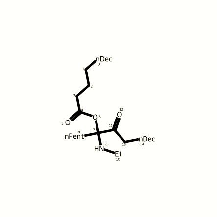 CCCCCCCCCCCCCC(=O)OC(CCCCC)(NCC)C(=O)CCCCCCCCCCC